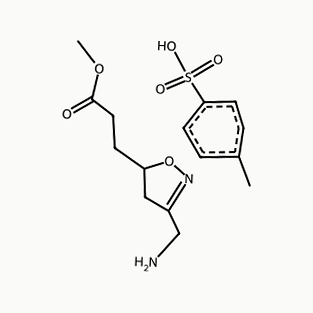 COC(=O)CCC1CC(CN)=NO1.Cc1ccc(S(=O)(=O)O)cc1